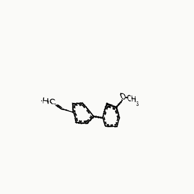 [CH]=Cc1ccc(-c2cccc(OC)c2)cc1